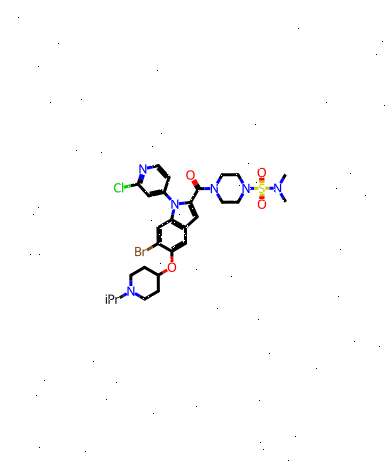 CC(C)N1CCC(Oc2cc3cc(C(=O)N4CCN(S(=O)(=O)N(C)C)CC4)n(-c4ccnc(Cl)c4)c3cc2Br)CC1